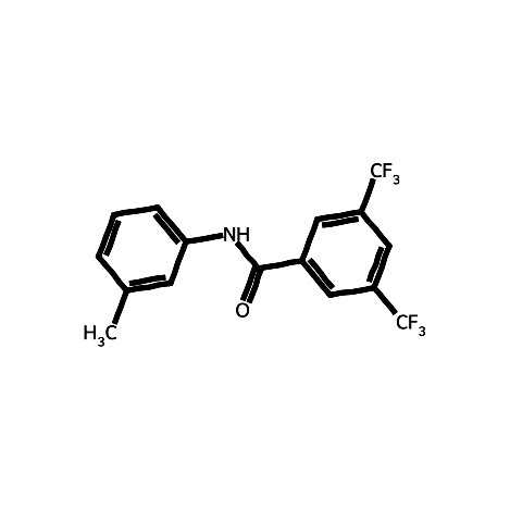 Cc1cccc(NC(=O)c2cc(C(F)(F)F)cc(C(F)(F)F)c2)c1